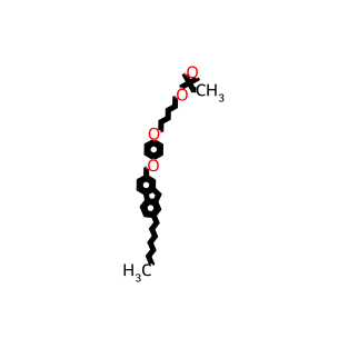 CCCCCCCCc1ccc2c(c1)Cc1cc(COc3ccc(OCCCCCCOCC4(CC)COC4)cc3)ccc1-2